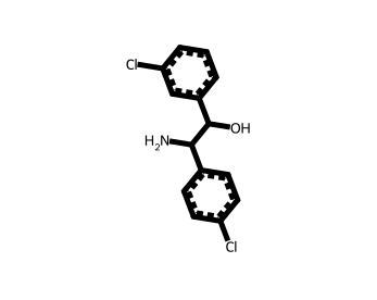 NC(c1ccc(Cl)cc1)C(O)c1cccc(Cl)c1